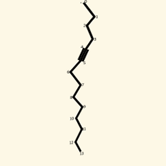 [CH2]CCCC#CCCCCCCCC